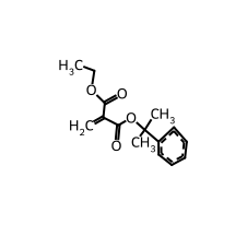 C=C(C(=O)OCC)C(=O)OC(C)(C)c1ccccc1